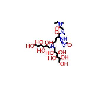 CCN(C)C(=O)CN(C)C(=O)C(CCCN(CC(O)C(O)C(O)CCO)CC(O)C(O)C(O)[C@H](O)CO)NCN(C)C=O